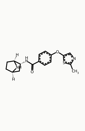 Cc1ncc(Oc2ccc(C(=O)N[C@@H]3C[C@H]4CC[C@@H]3N4)cc2)s1